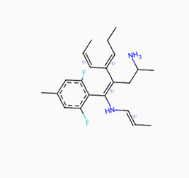 C\C=C/C(=C\CC)C(/CC(C)N)=C(/N/C=C/C)c1c(F)cc(C)cc1F